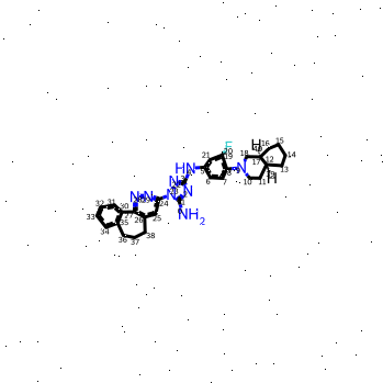 Nc1nc(Nc2ccc(N3CC[C@H]4CCCC[C@@H]4C3)c(F)c2)nn1-c1cc2c(nn1)-c1ccccc1CCC2